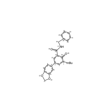 CCCCn1cc(-c2ccc3c(c2)OCO3)cc(C(=O)NCc2ccccc2)c1=O